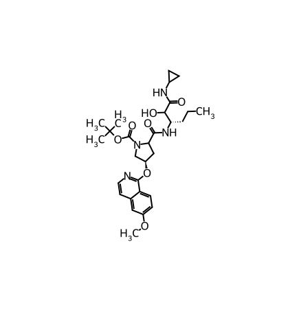 CCC[C@H](NC(=O)C1C[C@@H](Oc2nccc3cc(OC)ccc23)CN1C(=O)OC(C)(C)C)C(O)C(=O)NC1CC1